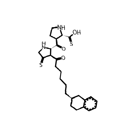 O=C(CCCCC[C@@H]1CCc2ccccc2C1)C1C(=S)CN[C@@H]1C(=O)C1CCN[C@@H]1C(O)=S